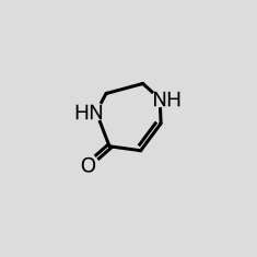 O=C1C=CNCCN1